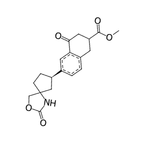 COC(=O)C1CC(=O)c2cc([C@@H]3CCC4(COC(=O)N4)C3)ccc2C1